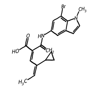 C=C(Nc1cc(Br)c2c(ccn2C)c1)/C(=C\C(=C/C)C1CC1)C(=O)O